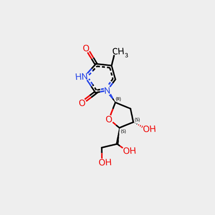 Cc1cn([C@H]2C[C@H](O)[C@@H](C(O)CO)O2)c(=O)[nH]c1=O